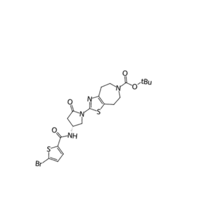 CC(C)(C)OC(=O)N1CCc2nc(N3C[C@H](NC(=O)c4ccc(Br)s4)CC3=O)sc2CC1